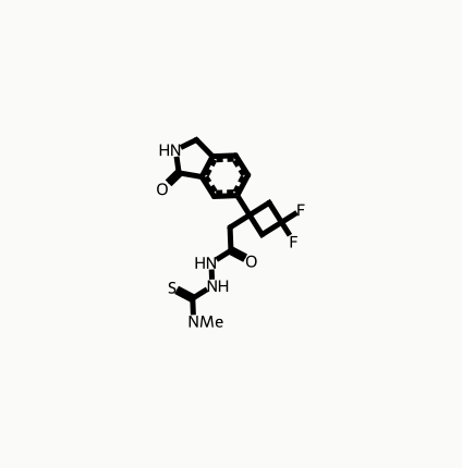 CNC(=S)NNC(=O)CC1(c2ccc3c(c2)C(=O)NC3)CC(F)(F)C1